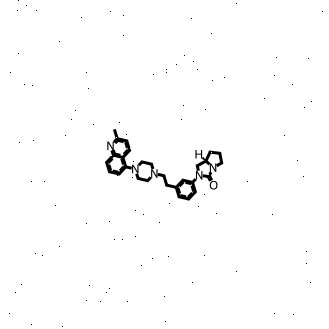 Cc1ccc2c(N3CCN(CCc4cccc(N5C[C@@H]6CCCN6C5=O)c4)CC3)cccc2n1